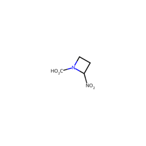 O=C(O)N1CCC1[N+](=O)[O-]